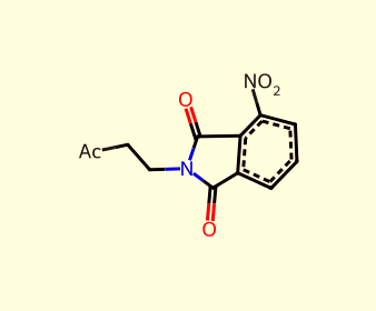 CC(=O)CCN1C(=O)c2cccc([N+](=O)[O-])c2C1=O